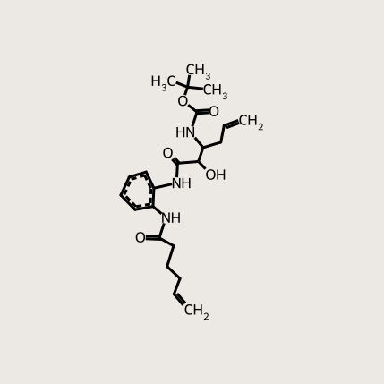 C=CCCCC(=O)Nc1ccccc1NC(=O)C(O)C(CC=C)NC(=O)OC(C)(C)C